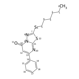 CCCCCCSc1nn2c(=O)cc(-c3ccccc3)nc2s1